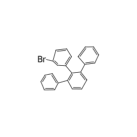 Brc1cccc(-c2c(-c3ccccc3)cccc2-c2ccccc2)c1